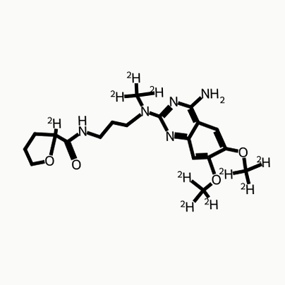 [2H]C([2H])([2H])Oc1cc2nc(N(CCCNC(=O)C3([2H])CCCO3)C([2H])([2H])[2H])nc(N)c2cc1OC([2H])([2H])[2H]